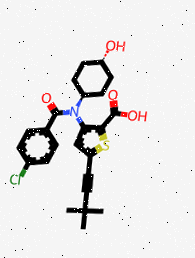 CC(C)(C)C#Cc1cc(N(C(=O)c2ccc(Cl)cc2)[C@H]2CC[C@H](O)CC2)c(C(=O)O)s1